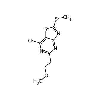 COCCc1nc(Cl)c2sc(SC)nc2n1